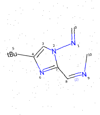 C=Nn1cc(C(C)(C)C)nc1/C=N\C